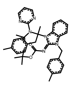 CC(=O)N(c1ncccn1)C(C)(Cc1ccc(C)cc1)n1c(=NC(=O)OC(C)(C)C)n(Cc2ccc(C)cc2)c2ccccc21